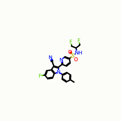 Cc1ccc(-n2c(-c3ccc(S(=O)(=O)NC(CF)CF)cn3)c(C#N)c3cc(F)ccc32)cc1